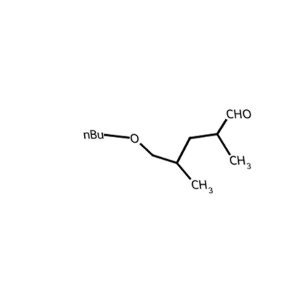 CCCCOCC(C)CC(C)C=O